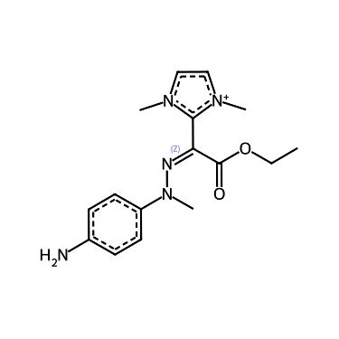 CCOC(=O)/C(=N\N(C)c1ccc(N)cc1)c1n(C)cc[n+]1C